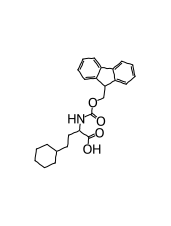 O=C(NC(CCC1CCCCC1)C(=O)O)OCC1c2ccccc2-c2ccccc21